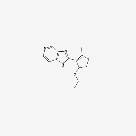 CCOc1csc(C)c1-c1nc2cnccc2[nH]1